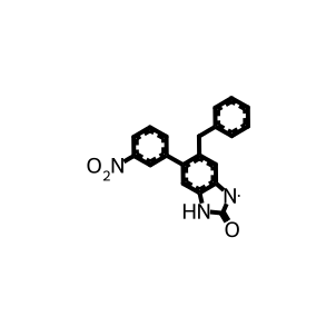 O=C1[N]c2cc(Cc3ccccc3)c(-c3cccc([N+](=O)[O-])c3)cc2N1